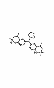 CC1CC(C)(C)Nc2ccc(C(c3ccc4c(c3)C(C)CC(C)(C)N4)C3CCCO3)cc21